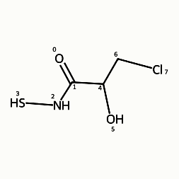 O=C(NS)C(O)CCl